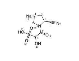 N#C[C@@H]1CCCN1C(=O)C(O)S(=O)(=O)O.[NaH]